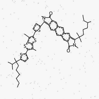 CCCCCCC(C)(c1ccc(-c2sc3c(C)c(-c4ccc(C5=c6cc7cc8cc9c(cc8cc7cc6C(=O)N5C)=C(C(C)(C)CCCC(C)CC)N(C)C9=O)s4)sc3c2C)s1)C(C)C